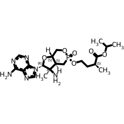 CC(C)OC(=O)[C@@H](C)CCOP1(=O)C[C@@H]2[C@@H](CO1)O[C@@H](n1cnc3c(N)ncnc31)[C@]2(C)N